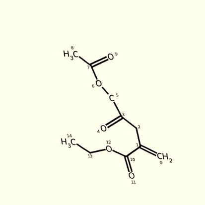 C=C(CC(=O)COC(C)=O)C(=O)OCC